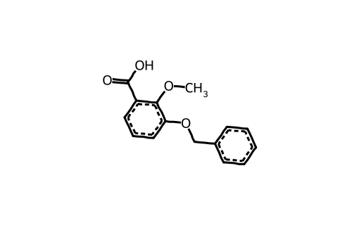 COc1c(OCc2ccccc2)cccc1C(=O)O